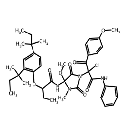 CCC(Oc1ccc(C(C)(C)CC)cc1C(C)(C)CC)C(=O)NC1(OC)C(=O)N(C(Cl)(C(=O)Nc2ccccc2)C(=O)c2ccc(OC)cc2)C(=O)N1C